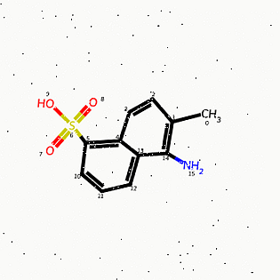 Cc1ccc2c(S(=O)(=O)O)cccc2c1N